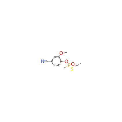 CCOP(C)(=S)Oc1ccc(C#N)cc1OC